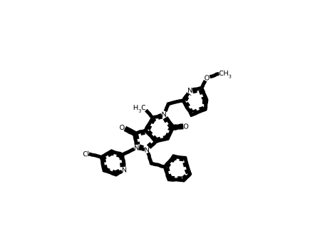 COc1cccc(Cn2c(C)c3c(=O)n(-c4cc(Cl)ccn4)n(Cc4ccccc4)c3cc2=O)n1